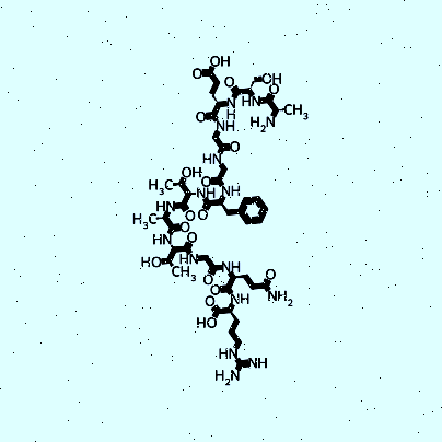 C[C@H](N)C(=O)N[C@@H](CO)C(=O)N[C@@H](CCC(=O)O)C(=O)NCC(=O)NCC(=O)N[C@@H](Cc1ccccc1)C(=O)N[C@H](C(=O)N[C@@H](C)C(=O)N[C@H](C(=O)NCC(=O)N[C@@H](CCC(N)=O)C(=O)N[C@@H](CCCNC(=N)N)C(=O)O)[C@@H](C)O)[C@@H](C)O